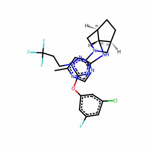 Cc1cc(N2C[C@H]3CC[C@@H](C2)[C@@H]3Nc2nc(Oc3cc(F)cc(Cl)c3)n(CCC(F)(F)F)n2)ncn1